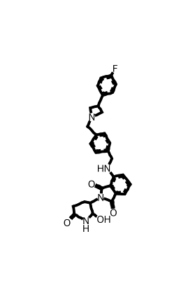 O=C1CCC(N2C(=O)c3cccc(NCc4ccc(CN5CC(c6ccc(F)cc6)C5)cc4)c3C2=O)C(O)N1